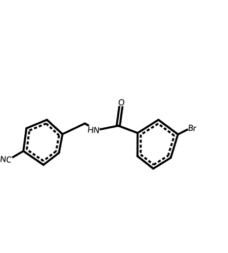 N#Cc1ccc(CNC(=O)c2cccc(Br)c2)cc1